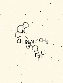 CCCN=S(=O)(NCCCN1c2ccccc2CCc2ccc(Cl)cc21)c1ccc(OC(F)(F)F)cc1